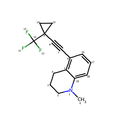 CN1CCCc2c(C#CC3(C(F)(F)F)CC3)cccc21